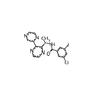 CC(NC(=O)c1cc(Cl)cc(I)c1)c1nccnc1-c1cnccn1